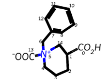 O=C(O)C1CCC[N+](Cc2ccccc2)(C(=O)[O-])C1